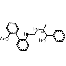 COc1ccccc1-c1ccccc1PCN[C@@H](C)C(O)c1ccccc1